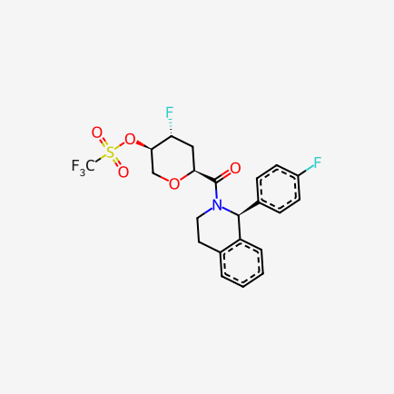 O=C([C@@H]1C[C@@H](F)[C@H](OS(=O)(=O)C(F)(F)F)CO1)N1CCc2ccccc2[C@@H]1c1ccc(F)cc1